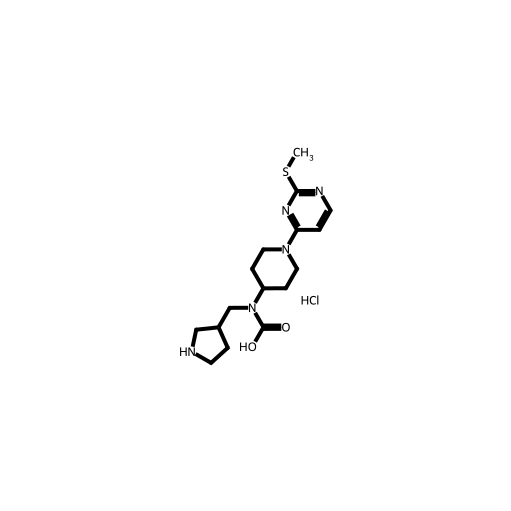 CSc1nccc(N2CCC(N(CC3CCNC3)C(=O)O)CC2)n1.Cl